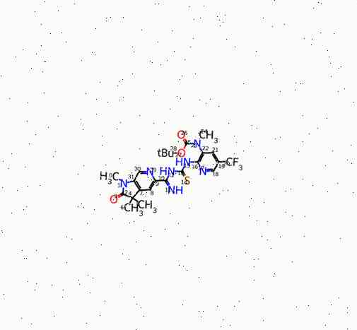 CN1C(=O)C(C)(C)c2cc(C(=N)NC(=S)Nc3ncc(C(F)(F)F)cc3N(C)C(=O)OC(C)(C)C)ncc21